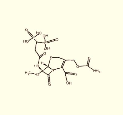 CO[C@@]1(NC(=O)CC(P(=O)(O)O)P(=O)(O)O)C(=O)N2C(C(=O)O)=C(COC(N)=O)CS[C@H]21